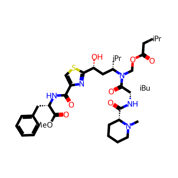 CC[C@H](C)[C@H](NC(=O)[C@H]1CCCCN1C)C(=O)N(COC(=O)CC(C)C)[C@H](C[C@@H](O)c1nc(C(=O)N[C@@H](Cc2ccccc2)C(=O)OC)cs1)C(C)C